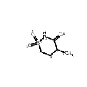 CC1CCS(=O)(=O)NC1=O